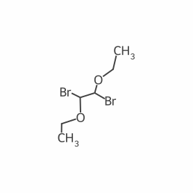 CCOC(Br)C(Br)OCC